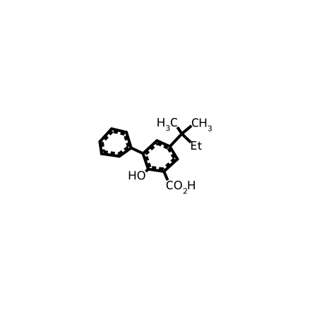 CCC(C)(C)c1cc(C(=O)O)c(O)c(-c2ccccc2)c1